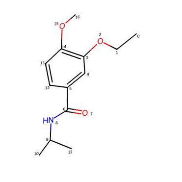 CCOc1cc(C(=O)NC(C)C)ccc1OC